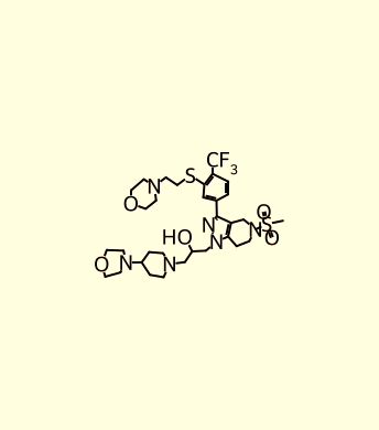 CS(=O)(=O)N1CCc2c(c(-c3ccc(C(F)(F)F)c(SCCN4CCOCC4)c3)nn2CC(O)CN2CCC(N3CCOCC3)CC2)C1